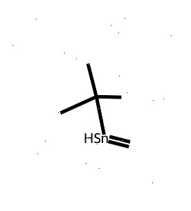 [CH2]=[SnH][C](C)(C)C